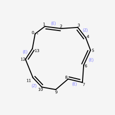 [CH]1/C=C/C=C\C=C\C=C\C/C=C\C=C\1